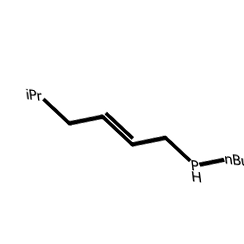 CCCCPCC=CCC(C)C